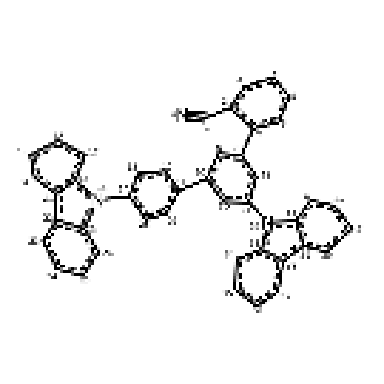 N#Cc1ccccc1-c1cc(-c2ccc(-n3c4ccccc4c4ccccc43)cc2)cc(-n2c3ccccc3c3ccccc32)c1